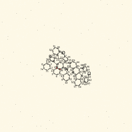 c1ccc(-c2ccc(-c3ccccc3N(c3ccc4c(c3)C3(c5ccccc5Oc5ccccc53)c3ccccc3-4)c3cccc4cc5c(cc34)-c3ccccc3C53c4ccccc4Oc4ccccc43)cc2)cc1